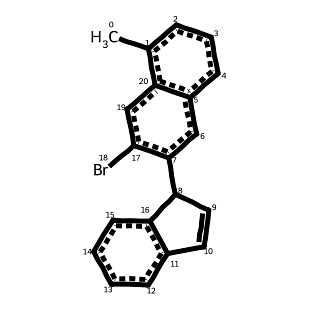 Cc1cccc2cc(C3C=Cc4ccccc43)c(Br)cc12